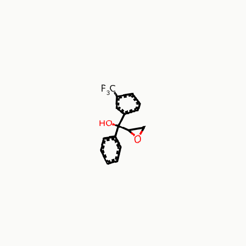 OC(c1ccccc1)(c1cccc(C(F)(F)F)c1)C1CO1